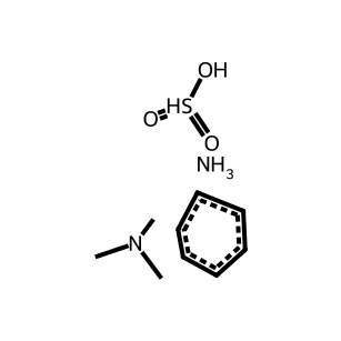 CN(C)C.N.O=[SH](=O)O.c1ccccc1